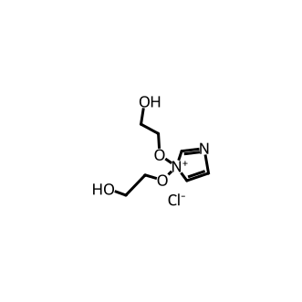 OCCO[N+]1(OCCO)C=CN=C1.[Cl-]